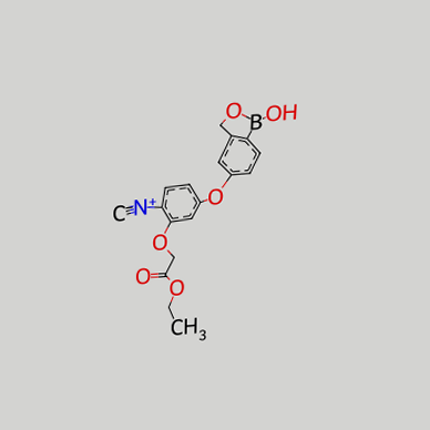 [C-]#[N+]c1ccc(Oc2ccc3c(c2)COB3O)cc1OCC(=O)OCC